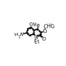 CCn1c(=O)c(OC=O)c(OC)c2ccc(N)cc21